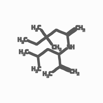 C=C(CC(C)(C)CC)NC(CC(C)C)C(=C)C